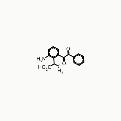 CC(C(=O)O)c1c(N)cccc1C(=O)C(=O)c1ccccc1